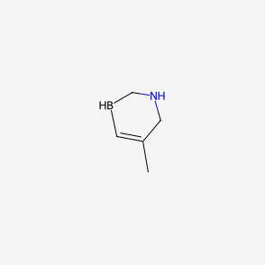 CC1=CBCNC1